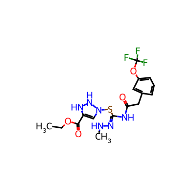 CCOC(=O)C1=CN(S/C(=N\NC)NC(=O)Cc2cccc(OC(F)(F)F)c2)NN1